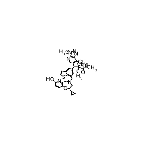 COC(=O)C(C)(C)[C@@H](c1cc(CN2Cc3nc(O)ccc3O[C@H](C3CC3)C2)c2sccc2c1)c1cnc2c(nnn2C)c1C